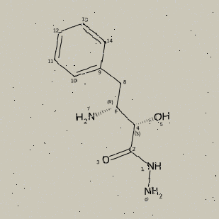 NNC(=O)[C@@H](O)[C@H](N)Cc1ccccc1